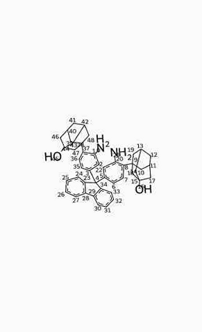 Nc1cc(C2(c3ccc(C45CC6CC(CC(O)(C6)C4)C5)c(N)c3)c3ccccc3-c3ccccc32)ccc1C12CC3CC(CC(O)(C3)C1)C2